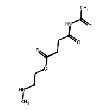 CNCCOC(=O)CCC(=O)NC(C)=O